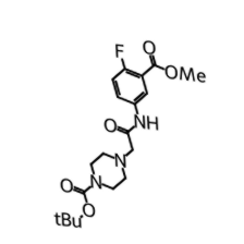 COC(=O)c1cc(NC(=O)CN2CCN(C(=O)OC(C)(C)C)CC2)ccc1F